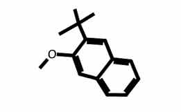 COc1cc2ccccc2cc1C(C)(C)C